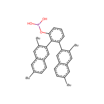 CCC(C)c1ccc2cc(-c3cccc(OP(O)O)c3-c3cc4ccc(C(C)CC)cc4cc3C(C)CC)c(C(C)CC)cc2c1